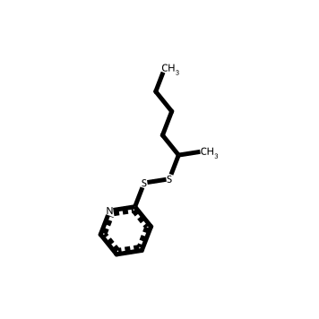 CCCCC(C)SSc1ccccn1